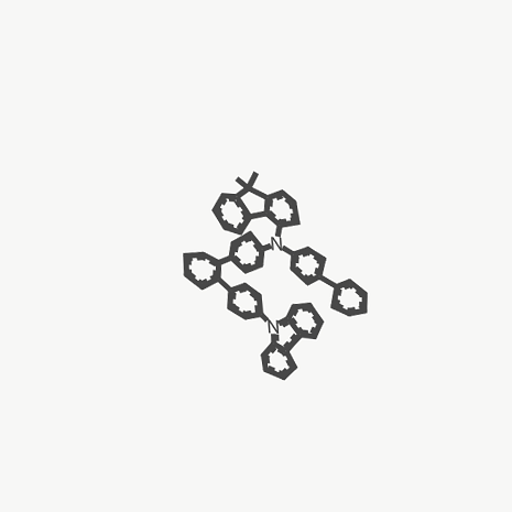 CC1(C)c2ccccc2-c2c(N(c3ccc(-c4ccccc4)cc3)c3ccc(-c4ccccc4-c4ccc(-n5c6ccccc6c6ccccc65)cc4)cc3)cccc21